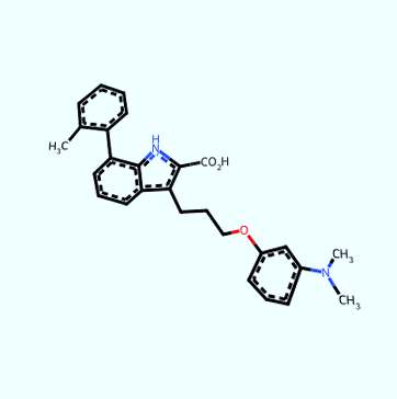 Cc1ccccc1-c1cccc2c(CCCOc3cccc(N(C)C)c3)c(C(=O)O)[nH]c12